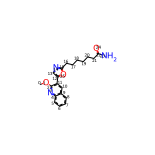 COc1nc2ccccc2cc1-c1cnc(CCCCCCC(N)=O)o1